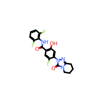 O=C(Nc1c(F)cccc1F)c1cc(F)c(-n2nc3n(c2=O)CCCC3)cc1O